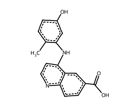 Cc1ccc(O)cc1Nc1ccnc2ccc(C(=O)O)cc12